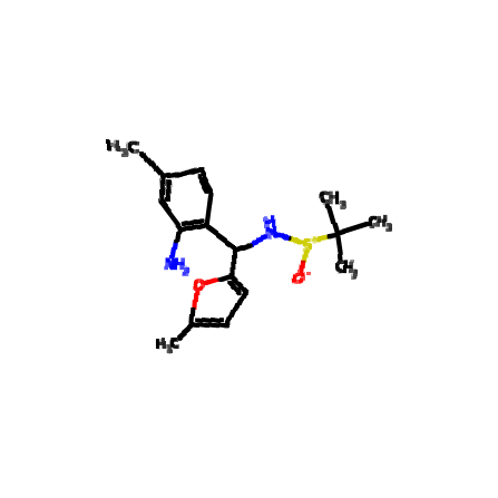 Cc1ccc(C(N[S+]([O-])C(C)(C)C)c2ccc(C)o2)c(N)c1